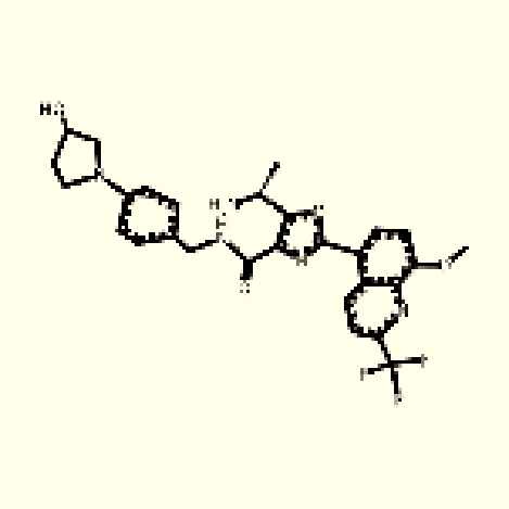 COc1ccc(-c2nc(C(=O)NCc3ccc(N4CC[C@@H](O)C4)cc3)c([C@H](C)N)o2)c2ccc(C(F)(F)F)nc12